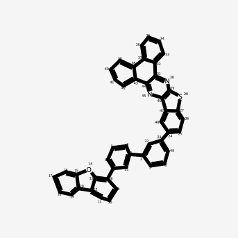 c1cc(-c2cccc(-c3cccc4c3oc3ccccc34)c2)cc(-c2ccc3sc4nc5c6ccccc6c6ccccc6c5nc4c3c2)c1